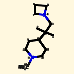 CC(C)(CN1CCC1)C1CCN(C(=O)O)CC1